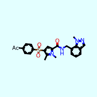 CC(=O)c1ccc(S(=O)(=O)c2cc(C(=O)NCc3cccc4cnn(C)c34)n(C)c2C)cc1